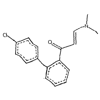 CN(C)C=CC(=O)c1ccc[c]c1-c1ccc(Cl)cc1